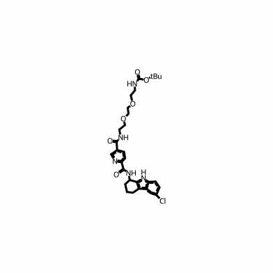 CC(C)(C)OC(=O)NCCOCCOCCNC(=O)c1ccc(C(=O)NC2CCCc3c2[nH]c2ccc(Cl)cc32)nc1